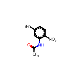 CC(C)c1ccc([N+](=O)[O-])c(NC(=O)C(F)(F)F)c1